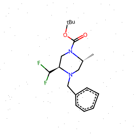 C[C@@H]1CN(Cc2ccccc2)[C@@H](C(F)F)CN1C(=O)OC(C)(C)C